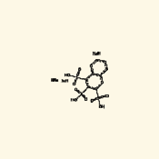 O=S(=O)(O)c1cc2ccccc2c(S(=O)(=O)O)c1S(=O)(=O)O.[NaH].[NaH].[NaH]